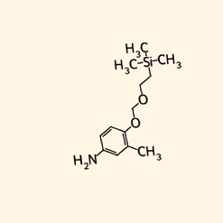 Cc1cc(N)ccc1OCOCC[Si](C)(C)C